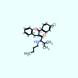 CCCCNC(c1oc2cc(Cl)ccc2c(=O)c1Cc1ccccc1)C(C)C